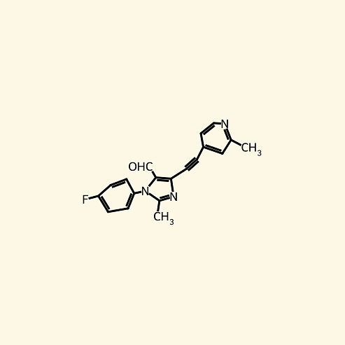 Cc1cc(C#Cc2nc(C)n(-c3ccc(F)cc3)c2C=O)ccn1